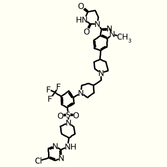 Cn1nc(N2CCC(=O)NC2=O)c2ccc(C3CCN(CC4CCN(c5cc(C(F)(F)F)cc(S(=O)(=O)N6CCC(Nc7ncc(Cl)cn7)CC6)c5)CC4)CC3)cc21